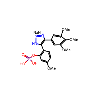 COc1ccc(-c2[nH]nnc2-c2cc(OC)c(OC)c(OC)c2)c(OP(=O)(O)O)c1.[NaH]